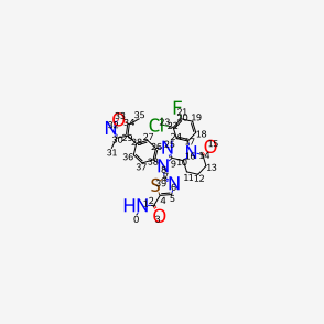 CNC(=O)c1cnc(-n2c(C3CCCC(=O)N3c3ccc(F)c(Cl)c3)nc3cc(-c4c(C)noc4C)ccc32)s1